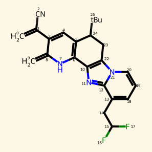 C=C(C#N)C1=CC2=C(NC1=C)c1nc3c(CC(F)F)cccn3c1CC2C(C)(C)C